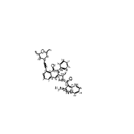 CC1CC(C#Cc2cccc3cc([C@@H](C)NC(=O)c4c(N)nn5cccnc45)n(-c4ccccc4)c(=O)c23)CC(C)O1